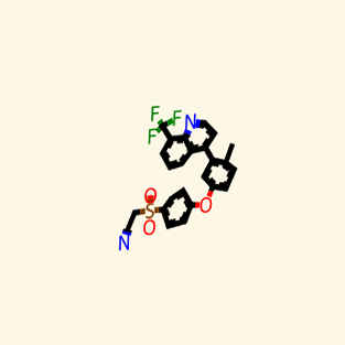 Cc1ccc(Oc2ccc(S(=O)(=O)CC#N)cc2)cc1-c1ccnc2c(C(F)(F)F)cccc12